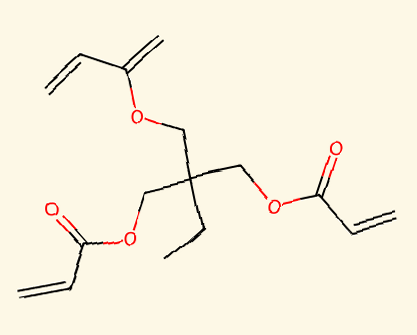 C=CC(=C)OCC(CC)(COC(=O)C=C)COC(=O)C=C